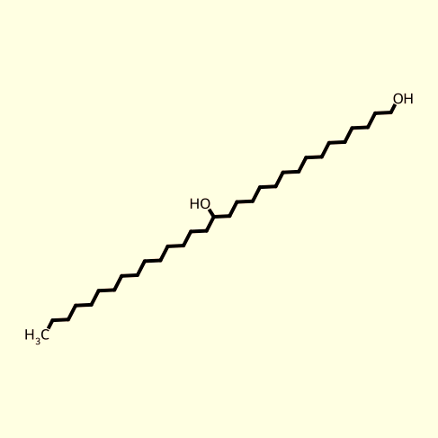 CCCCCCCCCCCCCCCC(O)CCCCCCCCCCCCCCCO